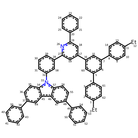 CCc1ccc(-c2cc(-c3ccc(CC)cc3)cc(-c3cc(-c4ccccc4)nc(-c4cccc(-n5c6ccc(-c7ccccc7)cc6c6cc(-c7ccccc7)ccc65)c4)c3)c2)cc1